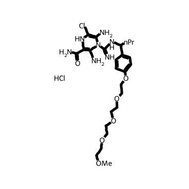 CCCC(NC(=N)N1C(N)=C(Cl)NC(C(N)=O)=C1N)c1ccc(OCCOCCOCCOCCOC)cc1.Cl